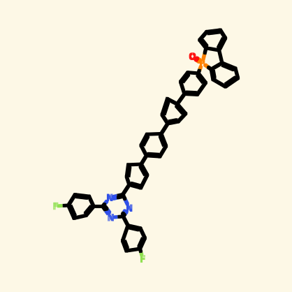 O=P1(c2ccc(-c3ccc(-c4ccc(-c5ccc(-c6nc(-c7ccc(F)cc7)nc(-c7ccc(F)cc7)n6)cc5)cc4)cc3)cc2)c2ccccc2-c2ccccc21